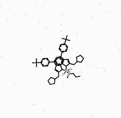 CCC[SiH](C)[Zr]([Cl])([Cl])([CH]1C(CC2CCCC2)=Cc2c(-c3ccc(C(C)(C)C)cc3)cccc21)[CH]1C(CC2CCCC2)=Cc2c(-c3ccc(C(C)(C)C)cc3)cccc21